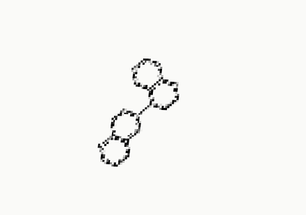 c1cnc2ccc(-c3ccnc4ccccc34)cc2c1